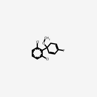 COC1(c2c(Cl)cccc2Cl)C=CC(F)=CC1